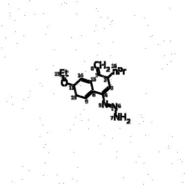 C=CC(/C=C(/N=N/N)C1=CCC(OCC)C=C1)CCC